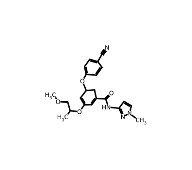 COCC(C)OC1=CC(Oc2ccc(C#N)cc2)CC(C(=O)Nc2ccn(C)n2)=C1